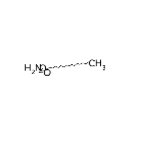 CCCCCCCCCCCCCCCCC(=O)OC1(N)CC1